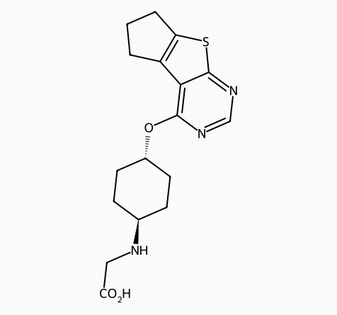 O=C(O)CN[C@H]1CC[C@H](Oc2ncnc3sc4c(c23)CCC4)CC1